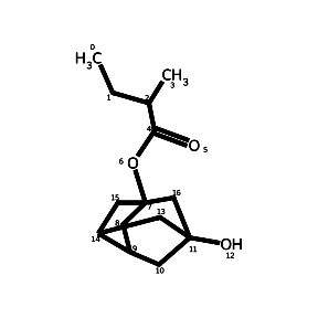 CCC(C)C(=O)OC12CC3CC(O)(CC3C1)C2